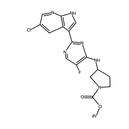 CC(C)OC(=O)N1CCC(Nc2nc(-c3c[nH]c4ncc(Cl)cc34)ncc2F)C1